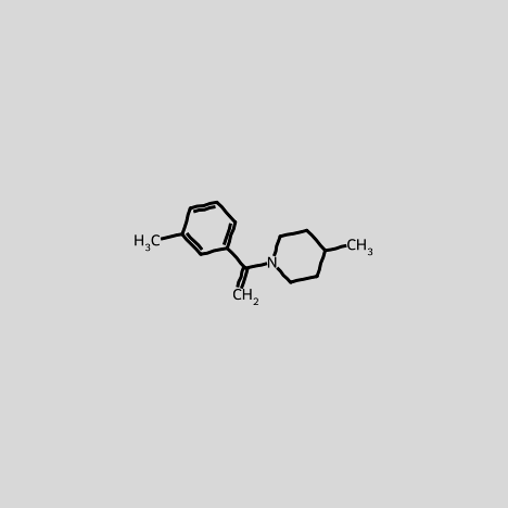 C=C(c1cccc(C)c1)N1CCC(C)CC1